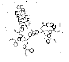 C=CC(=O)OCC(COC(=O)C=C)(COC(=O)C=C)CO[Si](C)(CCC(F)(F)C(F)(F)C(F)(F)C(F)(F)C(F)(F)C(F)(F)F)OCC(COC(=O)C=C)(COC(=O)C=C)CC(=C)C(=O)O